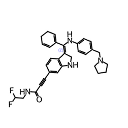 O=C(C#Cc1ccc2c(c1)NC/C2=C(\Nc1ccc(CN2CCCC2)cc1)C1=CCCC=C1)NCC(F)F